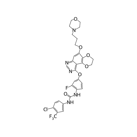 O=C(Nc1ccc(Cl)c(C(F)(F)F)c1)Nc1ccc(Oc2ncnc3cc(OCCCN4CCOCC4)c4c(c23)OCCO4)cc1F